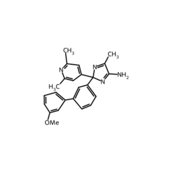 COc1cccc(-c2cccc(C3(c4cc(C)nc(C)c4)N=C(C)C(N)=N3)c2)c1